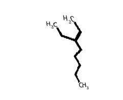 CCCCCC(CC)CC